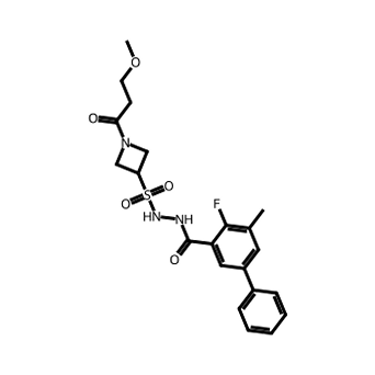 COCCC(=O)N1CC(S(=O)(=O)NNC(=O)c2cc(-c3ccccc3)cc(C)c2F)C1